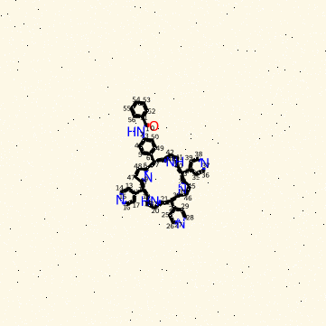 O=C(Nc1ccc(-c2c3nc(c(-c4ccncc4)c4ccc([nH]4)c(-c4ccncc4)c4nc(c(-c5ccncc5)c5ccc2[nH]5)C=C4)C=C3)cc1)c1ccccc1